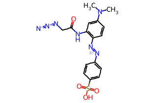 CN(C)c1ccc(/N=N/c2ccc(S(=O)(=O)O)cc2)c(NC(=O)CN=[N+]=[N-])c1